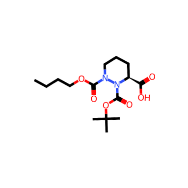 CCCCOC(=O)N1CCC[C@@H](C(=O)O)N1C(=O)OC(C)(C)C